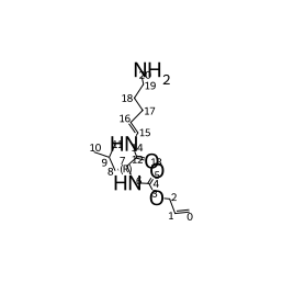 C=CCOC(=O)N[C@H](CC(C)C)C(=O)NC=CCCCN